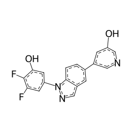 Oc1cncc(-c2ccc3c(cnn3-c3cc(O)c(F)c(F)c3)c2)c1